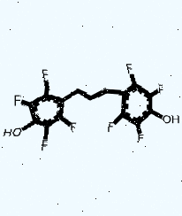 Oc1c(F)c(F)c(CCCc2c(F)c(F)c(O)c(F)c2F)c(F)c1F